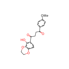 COc1ccc(C(=O)CCC(=O)c2ccc3c(c2O)OCCO3)cc1